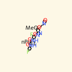 CCCC(CC)(C(=O)Nc1ccc(F)cc1)C(=O)Nc1ccc(Oc2ncnc3cc(OCCCN4CCOCC4)c(OC)cc23)c(F)c1